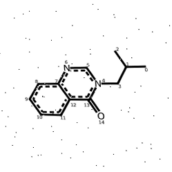 CC(C)Cn1cnc2ccccc2c1=O